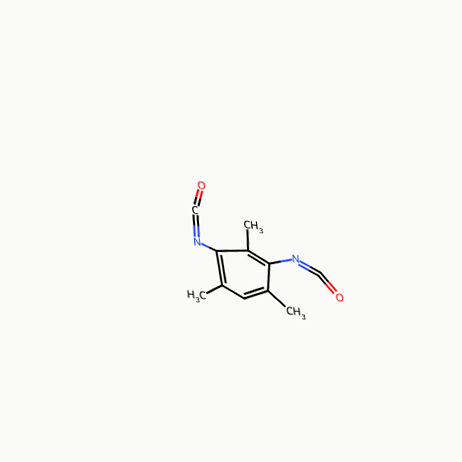 Cc1cc(C)c(N=C=O)c(C)c1N=C=O